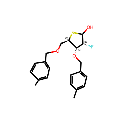 Cc1ccc(COC[C@H]2SC(O)[C@H](F)[C@@H]2OCc2ccc(C)cc2)cc1